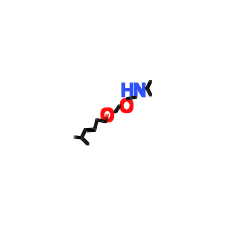 CC(C)/C=C/CCOCCOCCNC(C)C